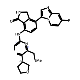 C=C(/C(CNC)=N\C(=C/C)Nc1ccc(-c2cnc3cc(F)ccn23)c2c1C(=O)NC2)[C@@H]1CCOC1